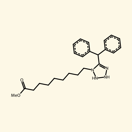 COC(=O)CCCCCCCCN1NNN=C1C(c1ccccc1)c1ccccc1